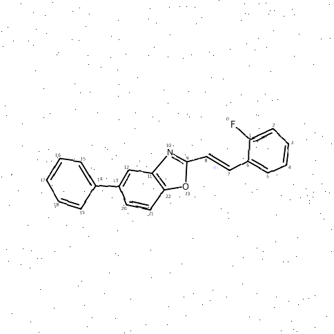 Fc1ccccc1/C=C/c1nc2cc(-c3ccccc3)ccc2o1